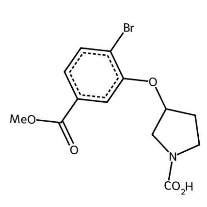 COC(=O)c1ccc(Br)c(OC2CCN(C(=O)O)C2)c1